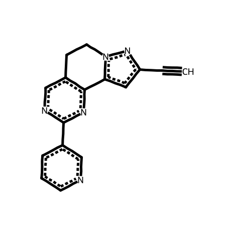 C#Cc1cc2n(n1)CCc1cnc(-c3cccnc3)nc1-2